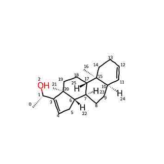 C[C@H](O)C1=CC[C@H]2[C@@H]3CC[C@@H]4C=CCC[C@]4(C)[C@H]3CC[C@]12C